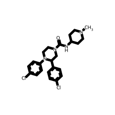 CN1CCC(NC(=O)N2CCN(c3ccc(Cl)cc3)C(c3ccc(Cl)cc3)C2)CC1